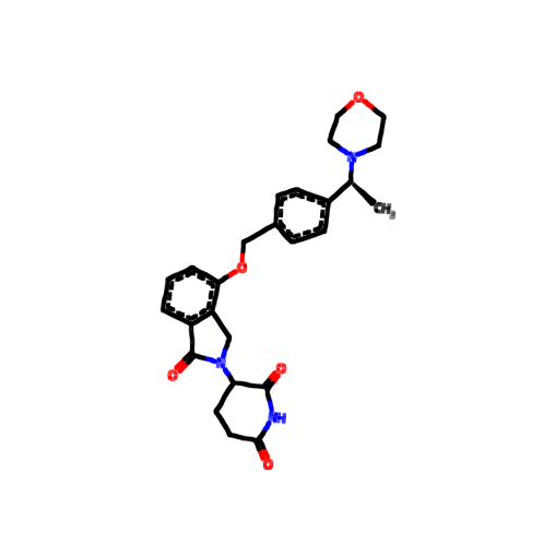 C[C@@H](c1ccc(COc2cccc3c2CN(C2CCC(=O)NC2=O)C3=O)cc1)N1CCOCC1